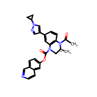 CC(=O)N1c2ccc(-c3cnn(C4CC4)c3)cc2N(C(=O)Oc2ccc3cnccc3c2)C[C@@H]1C